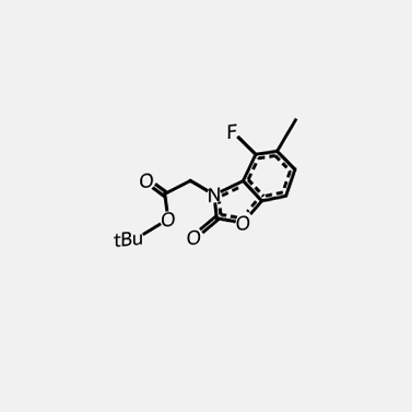 Cc1ccc2oc(=O)n(CC(=O)OC(C)(C)C)c2c1F